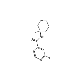 CC1(NC(=O)c2ccnc(F)c2)CCCCC1